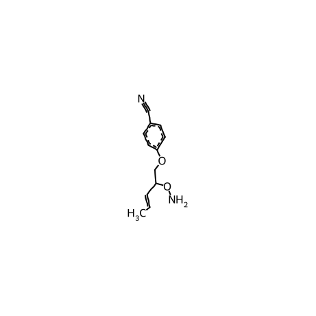 CC=CC(COc1ccc(C#N)cc1)ON